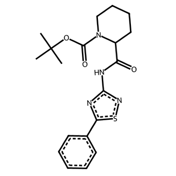 CC(C)(C)OC(=O)N1CCCCC1C(=O)Nc1nsc(-c2ccccc2)n1